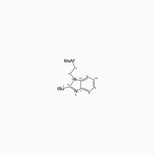 CNCCn1c(C(C)(C)C)nc2ccccc21